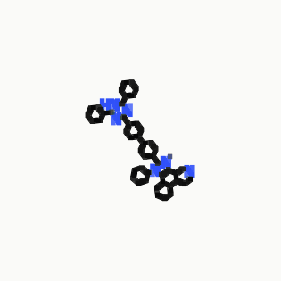 CN1c2c(c3ccccc3c3ccncc23)N(c2ccccc2)C1c1ccc(-c2ccc(C3=NC(c4ccccc4)NC(c4ccccc4)=N3)cc2)cc1